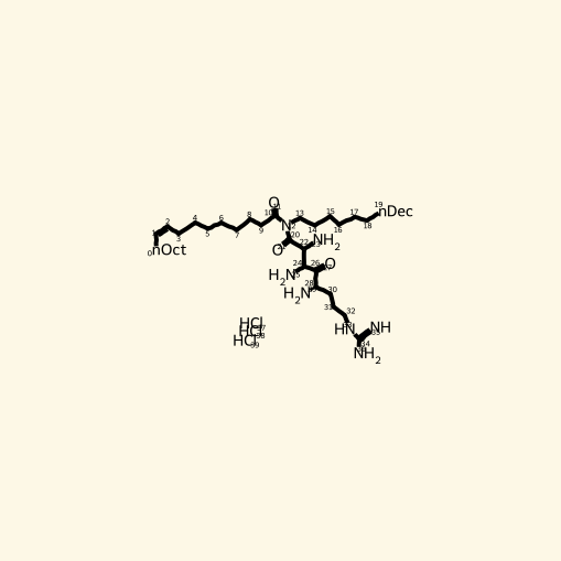 CCCCCCCC/C=C\CCCCCCCC(=O)N(CCCCCCCCCCCCCCCC)C(=O)C(N)C(N)C(=O)[C@H](N)CCCNC(=N)N.Cl.Cl.Cl